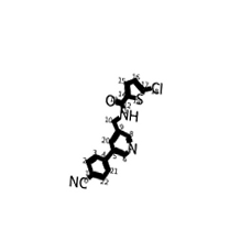 N#Cc1ccc(-c2cncc(CNC(=O)c3ccc(Cl)s3)c2)cc1